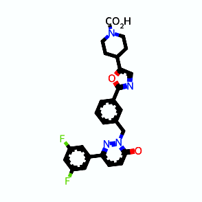 O=C(O)N1CCC(c2cnc(-c3cccc(Cn4nc(-c5cc(F)cc(F)c5)ccc4=O)c3)o2)CC1